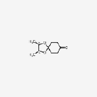 C[C@@H]1OC2(CCC(=O)CC2)O[C@@H]1C